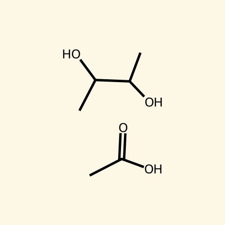 CC(=O)O.CC(O)C(C)O